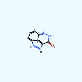 O=c1[nH]nc2cccc3c2c1N=N3